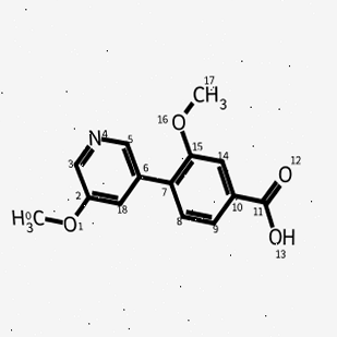 COc1cncc(-c2ccc(C(=O)O)cc2OC)c1